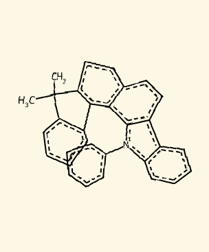 CC1(C)c2ccccc2-c2c1ccc1ccc3c4ccccc4n(-c4ccccc4)c3c21